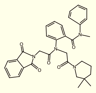 CN(C(=O)c1ccccc1N(CC(=O)N1CCCC(C)(C)C1)C(=O)CN1C(=O)c2ccccc2C1=O)c1ccccc1